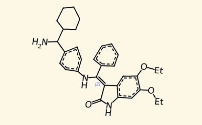 CCOc1cc2c(cc1OCC)/C(=C(/Nc1ccc(C(N)C3CCCCC3)cc1)c1ccccc1)C(=O)N2